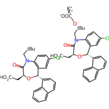 CC(C)(C)CN1C(=O)[C@H](CC(=O)O)O[C@@H](c2cccc3ccccc23)c2cc(Cl)ccc21.CC(C)(C)CN1C(=O)[C@H](CC(=O)O)O[C@@H](c2cccc3ccccc23)c2cc(Cl)ccc21.O=C([O-])[O-].[K+].[K+]